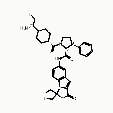 N[C@H](CF)[C@H]1CC[C@H](C(=O)N2CC[C@H](c3ccccc3)[C@H]2C(=O)Nc2ccc3c(c2)cc2n3C(CF)(CF)OC2=O)CC1